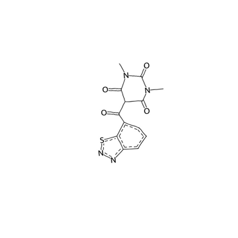 CN1C(=O)C(C(=O)c2cccc3nnsc23)C(=O)N(C)C1=O